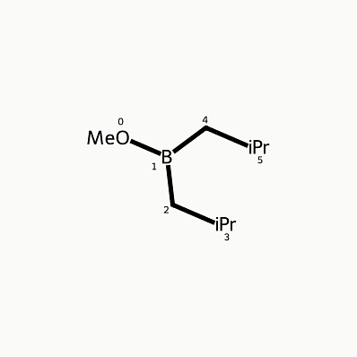 COB(CC(C)C)CC(C)C